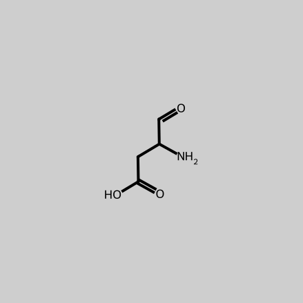 NC(C=O)CC(=O)O